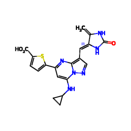 C=c1[nH]c(=O)[nH]/c1=C\c1cnn2c(NC3CC3)cc(-c3ccc(C(=O)O)s3)nc12